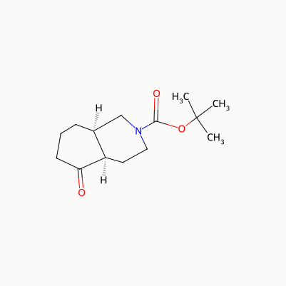 CC(C)(C)OC(=O)N1CC[C@H]2C(=O)CCC[C@H]2C1